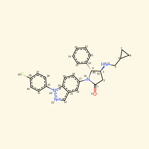 O=C1C[C@H](NCC2CC2)[C@@H](c2ccccc2)N1c1ccc2c(cnn2-c2ccc(F)cc2)c1